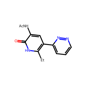 CCc1[nH]c(=O)c(NC(C)=O)cc1-c1cccnn1